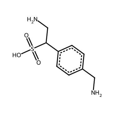 NCc1ccc(C(CN)S(=O)(=O)O)cc1